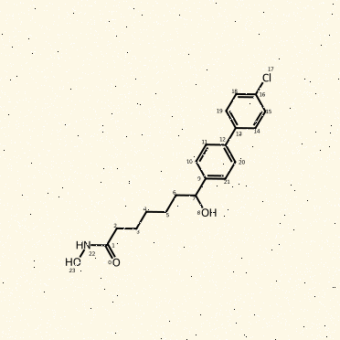 O=C(CCCCCC(O)c1ccc(-c2ccc(Cl)cc2)cc1)NO